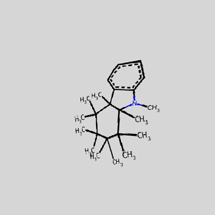 CN1c2ccccc2C2(C)C(C)(C)C(C)(C)C(C)(C)C(C)(C)C12C